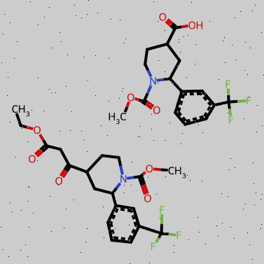 CCOC(=O)CC(=O)C1CCN(C(=O)OC)C(c2cccc(C(F)(F)F)c2)C1.COC(=O)N1CCC(C(=O)O)CC1c1cccc(C(F)(F)F)c1